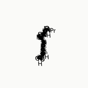 CCC1(C(=O)NC(C)C)CCN(c2ccc(-c3cc(-c4cnn([C@H]5CC[C@H](N6CCC(c7ccc(N[C@@H]8CCC(=O)NC8=O)cc7F)CC6)CC5)c4)cn4ncc(C#N)c34)cn2)CC1